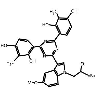 CCCCC(CC)Cn1cc(-c2nc(-c3ccc(O)c(C)c3O)nc(-c3ccc(O)c(C)c3O)n2)c2cc(OC)ccc21